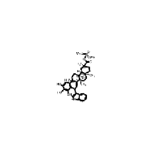 COP(=O)(OC)OC(=O)[C@]1(C)CC[C@]2(C)CC[C@]3(C)C4=CC(c5c[nH]c6ccccc56)c5c(cc(O)c(O)c5C)[C@]4(C)CC[C@@]3(C)[C@@H]2C1